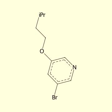 CC(C)CCOc1cncc(Br)c1